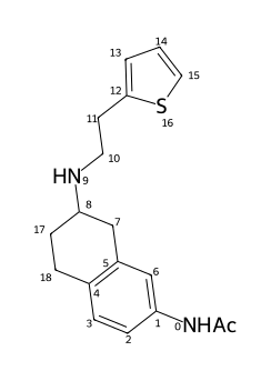 CC(=O)Nc1ccc2c(c1)CC(NCCc1cccs1)CC2